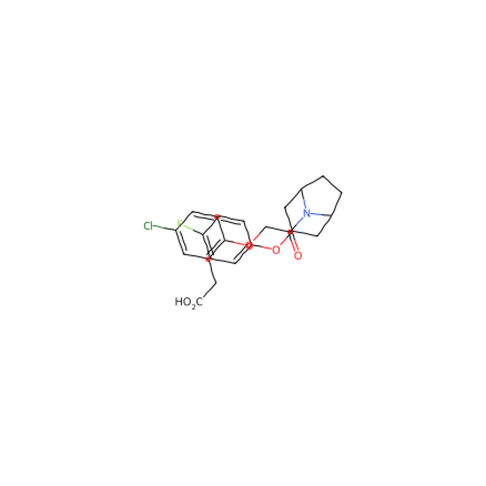 O=C(O)Cc1cc(Cl)ccc1OCC(=O)N1C2CCC1CC(Oc1ccc(F)cc1)C2